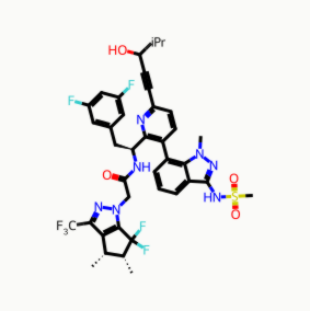 CC(C)C(O)C#Cc1ccc(-c2cccc3c(NS(C)(=O)=O)nn(C)c23)c([C@H](Cc2cc(F)cc(F)c2)NC(=O)Cn2nc(C(F)(F)F)c3c2C(F)(F)[C@H](C)[C@@H]3C)n1